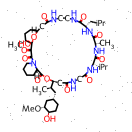 CO[C@@H]1C[C@H](C[C@@H](C)[C@@H]2CC(=O)NCC(=O)N[C@@H](C(C)C)C(=O)N[C@@H](C)C(=O)N[C@@H](CC(C)C)C(=O)NCCNC(=O)C[C@@H]3CC[C@@H](C)C(O)(O3)C(=O)C(=O)N3CCCC[C@H]3C(=O)O2)CC[C@H]1O